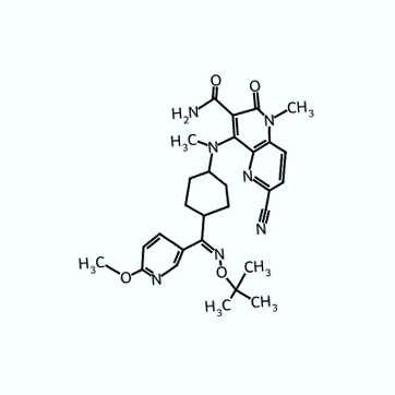 COc1ccc(C(=NOC(C)(C)C)C2CCC(N(C)c3c(C(N)=O)c(=O)n(C)c4ccc(C#N)nc34)CC2)cn1